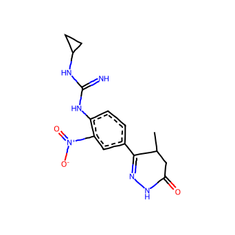 CC1CC(=O)NN=C1c1ccc(NC(=N)NC2CC2)c([N+](=O)[O-])c1